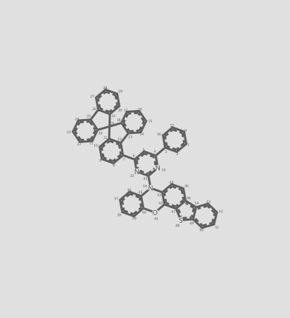 c1ccc(-c2cc(-c3cccc4c3-c3ccccc3C43c4ccccc4-c4ccccc43)nc(N3c4ccccc4Oc4c3ccc3c4sc4ccccc43)n2)cc1